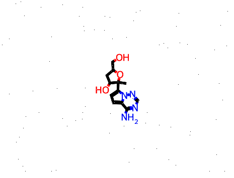 CC1(c2ccc3c(N)ncnn23)OC(CO)CC1O